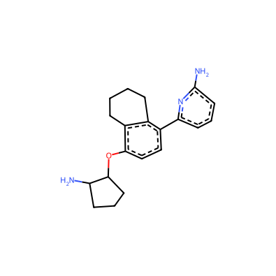 Nc1cccc(-c2ccc(OC3CCCC3N)c3c2CCCC3)n1